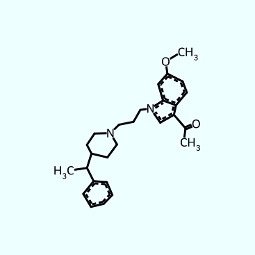 COc1ccc2c(C(C)=O)cn(CCCN3CCC(C(C)c4ccccc4)CC3)c2c1